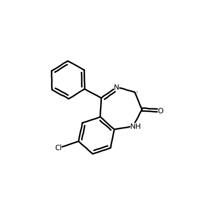 O=C1[C]N=C(c2ccccc2)c2cc(Cl)ccc2N1